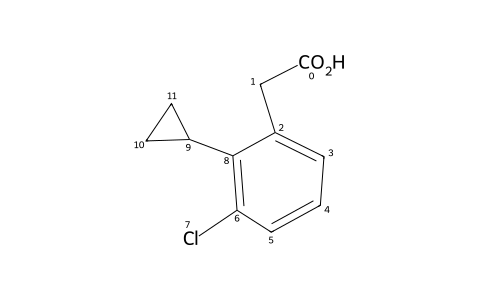 O=C(O)Cc1cccc(Cl)c1C1CC1